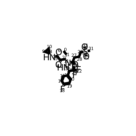 CC[C@@H](C(=O)C(=O)NC1CC1)N(N[C@@H](c1ccc(F)cc1)C(F)(F)F)C(=O)CCCS(C)(=O)=O